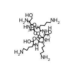 C[C@H](NC(=O)[C@@H](N)CO)C(=O)N[C@@H](CCCCN)C(=O)N[C@H](C(=O)N[C@@H](CCCCN)C(=O)N[C@@H](CCCCN)C(=O)O)[C@@H](C)O